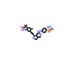 Cc1cc2c(cc1C#Cc1nccc3cnc(Nc4ccc(S(=N)(=O)C(C)C)cc4)cc13)NC(=O)C2(C)C